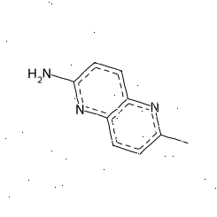 Cc1ccc2nc(N)ccc2n1